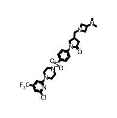 CN(C)C1CN(CC2CC(=O)N(c3ccc(S(=O)(=O)N4CCN(c5cc(C(F)(F)F)cc(Cl)n5)CC4)cc3)C2)C1